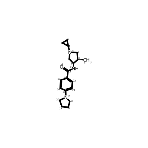 C[C@@H]1CN(C2CC2)C[C@@H]1NC(=O)c1ccc(N2CCCC2)cc1